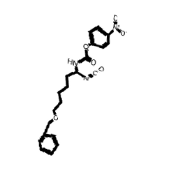 O=C=NC(CCCCCOCc1ccccc1)NC(=O)Oc1ccc([N+](=O)[O-])cc1